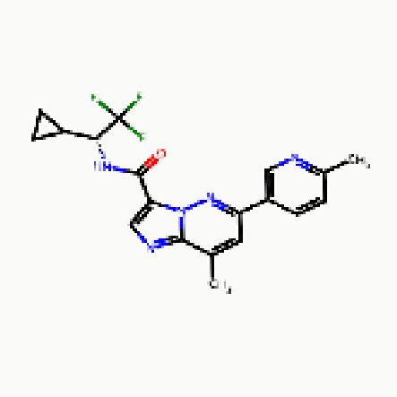 Cc1ccc(-c2cc(C)c3ncc(C(=O)N[C@H](C4CC4)C(F)(F)F)n3n2)cn1